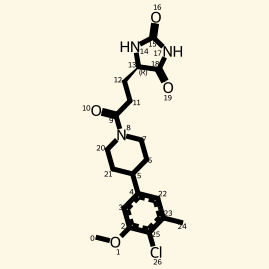 COc1cc(C2CCN(C(=O)CC[C@H]3NC(=O)NC3=O)CC2)cc(C)c1Cl